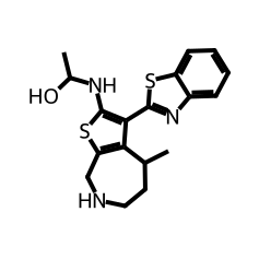 CC(O)Nc1sc2c(c1-c1nc3ccccc3s1)C(C)CCNC2